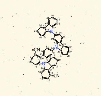 N#Cc1cccc(-n2c3ccccc3c3c(C#N)cccc32)c1-c1ccc(-n2c3ccccc3c3ccc(-n4c5ccccc5c5ccccc54)cc32)cc1